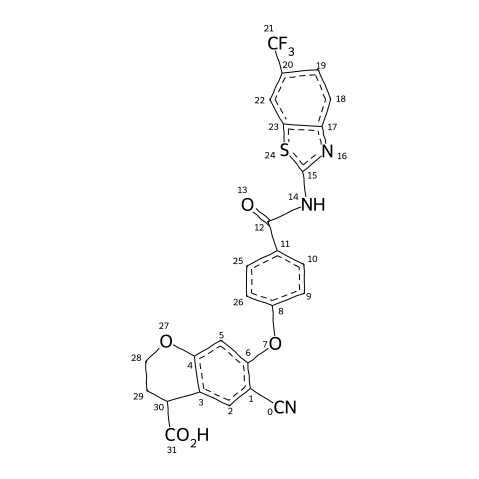 N#Cc1cc2c(cc1Oc1ccc(C(=O)Nc3nc4ccc(C(F)(F)F)cc4s3)cc1)OCCC2C(=O)O